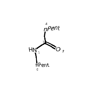 CCCCCNC(=O)CCCCC